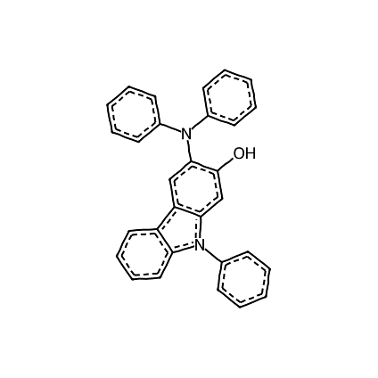 Oc1cc2c(cc1N(c1ccccc1)c1ccccc1)c1ccccc1n2-c1ccccc1